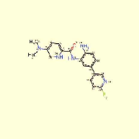 CN(C)C1=CC=C(C(=O)Nc2cc(-c3ccc(F)nc3)ccc2N)NC1